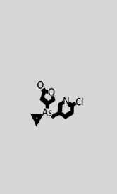 O=C1C=C([As](Cc2ccc(Cl)nc2)C2CC2)CO1